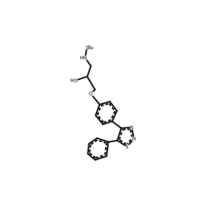 CC(C)(C)NCC(O)COc1ccc(-c2nnsc2-c2ccccc2)cc1